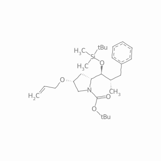 C=CCO[C@@H]1C[C@H]([C@@H](O[Si](C)(C)C(C)(C)C)[C@@H](C)Cc2ccccc2)N(C(=O)OC(C)(C)C)C1